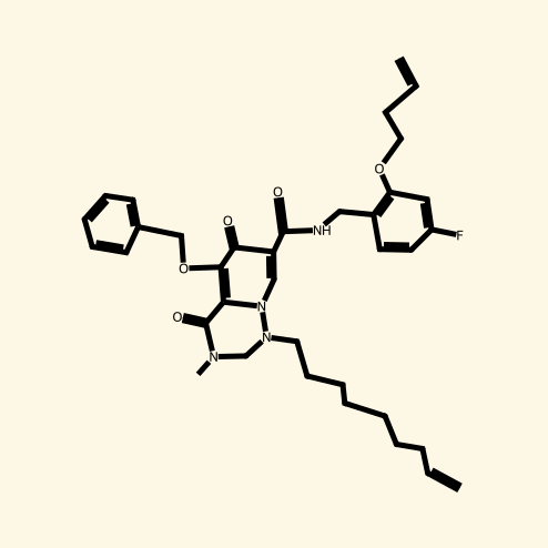 C=CCCCCCCCN1CN(C)C(=O)c2c(OCc3ccccc3)c(=O)c(C(=O)NCc3ccc(F)cc3OCCC=C)cn21